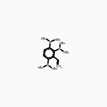 C=Cc1c(N(CCCC)CCCC)[c]cc(N(CCCC)CCCC)c1N(CCCC)CCCC